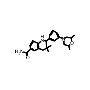 CC1CN(c2cccc(C3Nc4ccc(C(N)=O)cc4CC3(C)C)c2)CC(C)O1